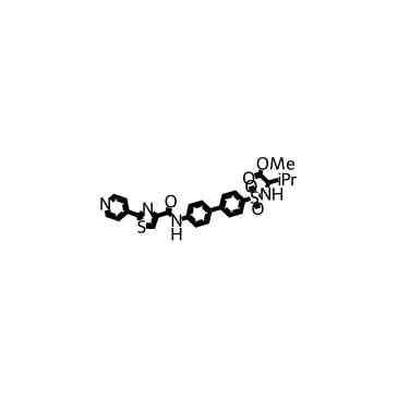 COC(=O)C(NS(=O)(=O)c1ccc(-c2ccc(NC(=O)c3csc(-c4ccncc4)n3)cc2)cc1)C(C)C